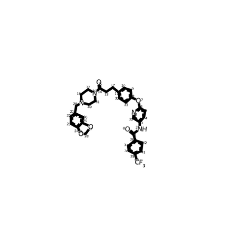 O=C(Nc1ccc(Oc2ccc(CCC(=O)N3CCN(Cc4ccc5c(c4)OCO5)CC3)cc2)nc1)c1ccc(C(F)(F)F)cc1